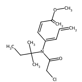 C=C/C=C(\C=C/C(=C)OC)N(C(=O)CCl)C(C)(C)CC